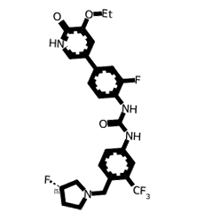 CCOc1cc(-c2ccc(NC(=O)Nc3ccc(CN4CC[C@H](F)C4)c(C(F)(F)F)c3)c(F)c2)c[nH]c1=O